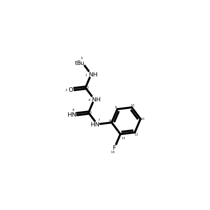 CC(C)(C)NC(=O)NC(=N)Nc1ccccc1F